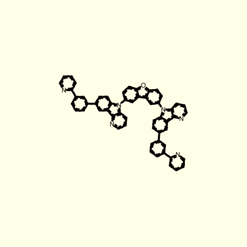 c1ccc(-c2cccc(-c3ccc4c(c3)c3ncccc3n4-c3ccc4oc5ccc(-n6c7ccc(-c8cccc(-c9ccccn9)c8)cc7c7ncccc76)cc5c4c3)c2)nc1